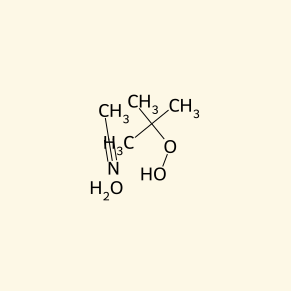 CC#N.CC(C)(C)OO.O